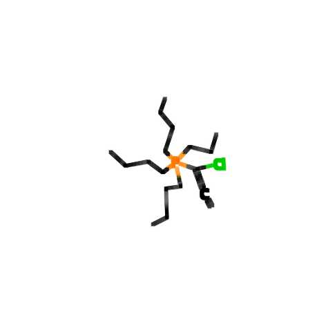 C=C=C(Cl)P(CCC)(CCCC)(CCCC)CCCC